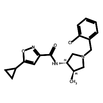 C[C@@H]1CN(Cc2ccccc2Cl)C[C@H]1NC(=O)c1cc(C2CC2)on1